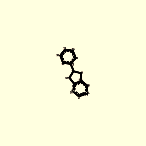 [c]1ncnc2c1CC(c1ccccc1)C2